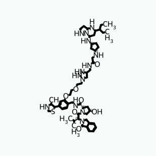 CCC(CC)C1CC(N[C@H]2CC[C@H](NCC(=O)NCC3CN(CCOCCOc4cc(C5SCNC5C)ccc4CNC(=O)[C@@H]4C[C@@H](O)CN4C(=O)[C@H](C(C)C)N4Cc5ccccc5C4=O)NN3)C2)N2NCCC2N1